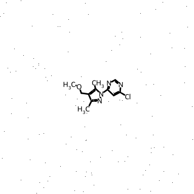 COCc1c(C)nn(-c2cc(Cl)ncn2)c1C